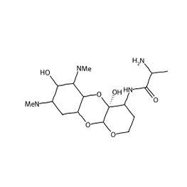 CNC1CC2OC3OCCC(NC(=O)C(C)N)[C@]3(O)OC2C(NC)C1O